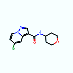 O=C(NC1CCOCC1)c1cnn2ccc(Br)cc12